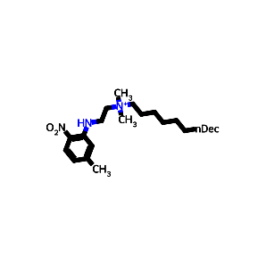 CCCCCCCCCCCCCCCC[N+](C)(C)CCNc1cc(C)ccc1[N+](=O)[O-]